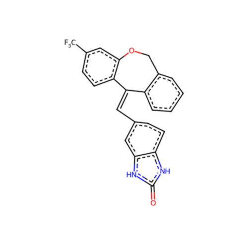 O=c1[nH]c2ccc(/C=C3\c4ccccc4COc4cc(C(F)(F)F)ccc43)cc2[nH]1